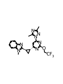 Cc1nc(C)n(-c2cc([C@@H]3C[C@H]3c3nc4ccccc4n3C)nc(OCC(F)(F)F)n2)n1